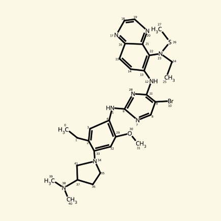 CCc1cc(Nc2ncc(Br)c(Nc3ccc4nccnc4c3N(CC)SC)n2)c(OC)cc1N1CCC(N(C)C)C1